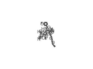 C#CCOCCOCCO[C@@]1(C(=O)OC)O[C@@H]([C@H](OC(C)=O)[C@@H](CN=[N+]=[N-])OC(C)=O)[C@H](N)[C@@H](NC(=O)c2cccc(OC)c2)[C@@H]1OC(C)=O